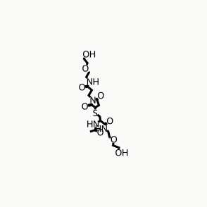 CC(=O)NC(CSC1CC(=O)N(CCC(=O)NCCOCCO)C1=O)C(=O)NCCOCCO